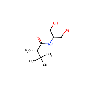 C[C@H](C(=O)NC(CO)CO)C(C)(C)C